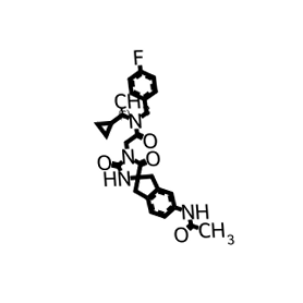 CC(=O)Nc1ccc2c(c1)CC1(C2)NC(=O)N(CC(=O)N(Cc2ccc(F)cc2)[C@@H](C)C2CC2)C1=O